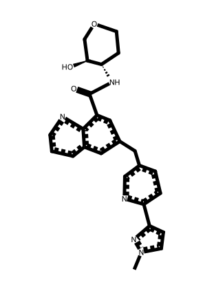 Cn1ccc(-c2ccc(Cc3cc(C(=O)N[C@H]4CCOC[C@@H]4O)c4ncccc4c3)cn2)n1